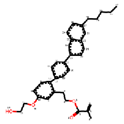 C=C(C)C(=O)OCCc1cc(OCCO)ccc1-c1ccc(-c2ccc3cc(CCCCC)ccc3c2)cc1